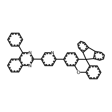 c1ccc(-c2nc(-c3ccc(-c4ccc5c(c4)Oc4ccccc4C54c5ccccc5-c5ccccc54)nc3)nc3ccccc23)cc1